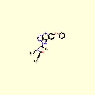 CC#CC(=O)N(CC)CC(C)n1nc(-c2ccc(Oc3ccccc3)cc2)c2c(N)ncnc21